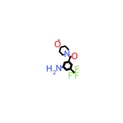 COC1CCN(C(=O)c2cc(N)cc(C(F)(F)F)c2)CC1